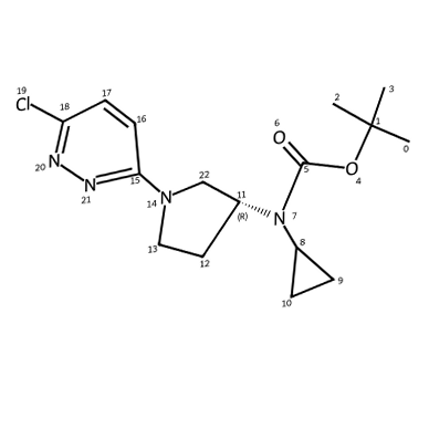 CC(C)(C)OC(=O)N(C1CC1)[C@@H]1CCN(c2ccc(Cl)nn2)C1